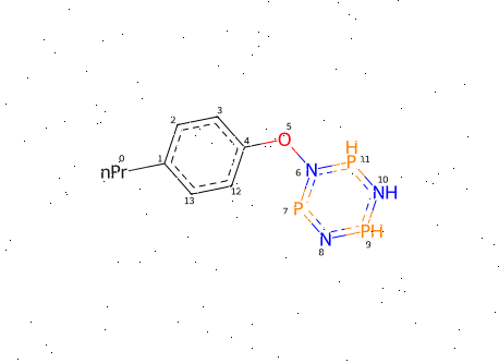 CCCc1ccc(On2pn[pH][nH][pH]2)cc1